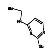 CC(C)(C)CNc1ccnc(C(C)(C)C)n1